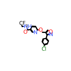 O=C(NCC(F)(F)F)c1ccc(OCc2conc2-c2ccc(Cl)cc2)nc1